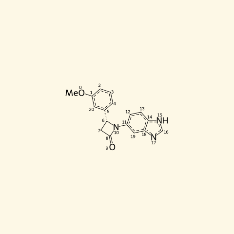 COc1cccc([C@H]2CC(=O)N2c2ccc3[nH]cnc3c2)c1